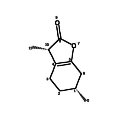 C[C@@H]1CCC2=C(C1)OC(=O)[C@H]2C